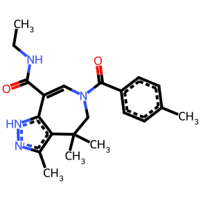 CCNC(=O)C1=CN(C(=O)c2ccc(C)cc2)CC(C)(C)c2c(C)n[nH]c21